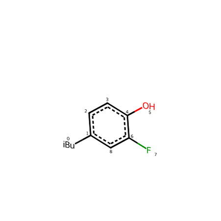 CCC(C)c1ccc(O)c(F)c1